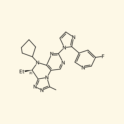 CC[C@@H]1c2nnc(C)n2-c2cnc(-n3ccnc3-c3cncc(F)c3)nc2N1C1CCCC1